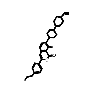 C=CC1CC=C(C2CCC(c3ccc4cc(-c5ccc(CCC)cc5)oc(=O)c4c3F)CC2)CC1